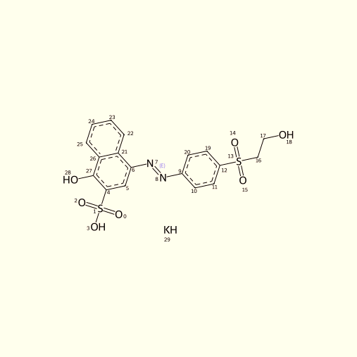 O=S(=O)(O)c1cc(/N=N/c2ccc(S(=O)(=O)CCO)cc2)c2ccccc2c1O.[KH]